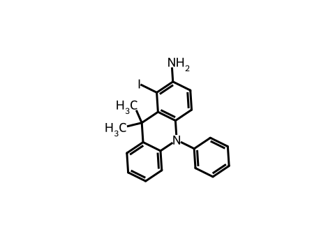 CC1(C)c2ccccc2N(c2ccccc2)c2ccc(N)c(I)c21